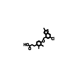 Cc1cc2c(COc3ccc(CCC(=O)O)c(C)c3C)cc(Cl)cc2s1